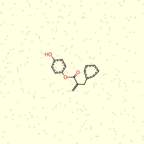 C=C(Cc1ccccc1)C(=O)Oc1ccc(O)cc1